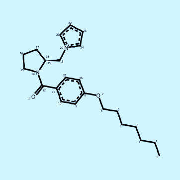 CCCCCCCOc1ccc(C(=O)N2CCC[C@H]2Cn2cccc2)cc1